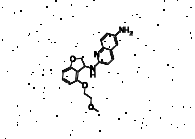 COCCOc1cccc2c1C(Nc1ccc3cc(N)ccc3n1)CO2